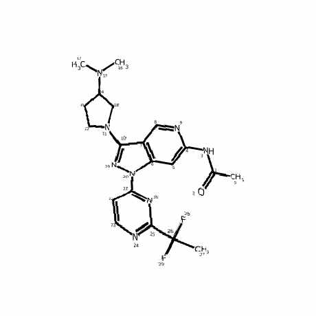 CC(=O)Nc1cc2c(cn1)c(N1CCC(N(C)C)C1)nn2-c1ccnc(C(C)(F)F)n1